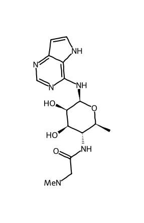 CNCC(=O)N[C@@H]1[C@@H](O)[C@@H](O)[C@@H](Nc2ncnc3cc[nH]c23)O[C@H]1C